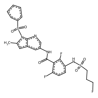 Cc1cc2cc(NC(=O)c3c(F)ccc(NS(=O)(=O)CCCF)c3F)cnc2n1S(=O)(=O)c1ccccc1